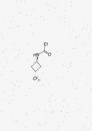 CCC(=O)N[C@H]1C[C@H](C(F)(F)F)C1